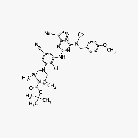 COc1ccc(CN(c2nc(Nc3cc(C#N)cc(N4C[C@@H](C)N(C(=O)OC(C)(C)C)[C@H](C)C4)c3Cl)nc3c(C#N)cnn23)C2CC2)cc1